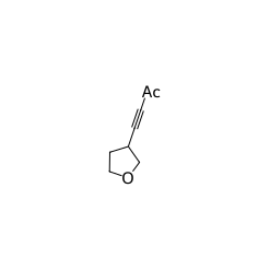 CC(=O)C#CC1CCOC1